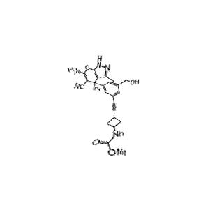 COC(=O)N[C@H]1C[C@H](C#Cc2cc(CO)cc(C3(C(C)C)C(C#N)=C(N)Oc4[nH]nc(C)c43)c2)C1